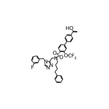 C=C(O)c1ccc(-c2ccc(S(=O)(=O)N(CCCCc3ccccc3)Cc3nncn3Cc3cccc(F)c3)c(OC(F)(F)F)c2)cc1